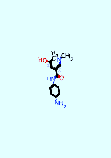 C=N/C=C(\C=C(/C)O)C(=O)N[C@H]1CC[C@H](N)CC1